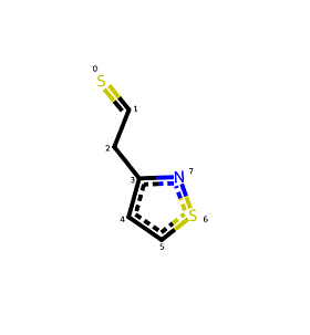 S=[C]Cc1ccsn1